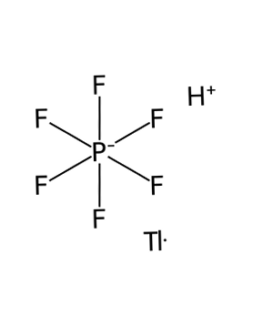 F[P-](F)(F)(F)(F)F.[H+].[Tl]